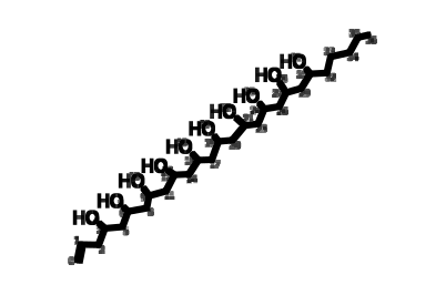 C=CCC(O)CC(O)CC(O)CC(O)CC(O)CC(O)CC(O)CC(O)CC(O)CC(O)CCCCC